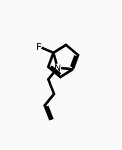 C=CCCN1C2=CCC1(F)C=C2